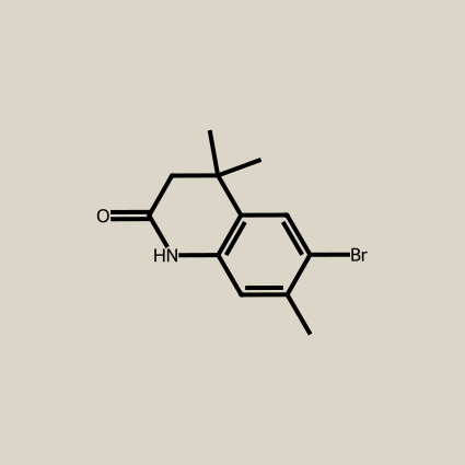 Cc1cc2c(cc1Br)C(C)(C)CC(=O)N2